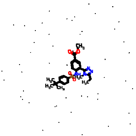 CCc1nnc(-c2cc(C(=O)OC)ccc2NS(=O)(=O)c2ccc(C(C)(C)C)cc2)n1C